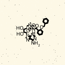 CN(C[C@H]1O[C@@H](n2cnc3c(N)ncnc32)[C@H](O)[C@@H]1O)S(=O)(=O)NC(=O)c1ccccc1OCc1ccccc1